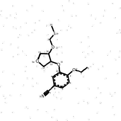 CCOc1ccc(C#N)cc1OC1COCC1OCSC